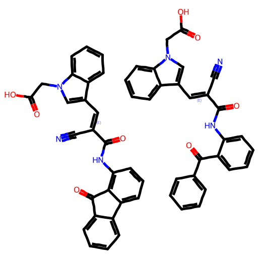 N#C/C(=C\c1cn(CC(=O)O)c2ccccc12)C(=O)Nc1cccc2c1C(=O)c1ccccc1-2.N#C/C(=C\c1cn(CC(=O)O)c2ccccc12)C(=O)Nc1ccccc1C(=O)c1ccccc1